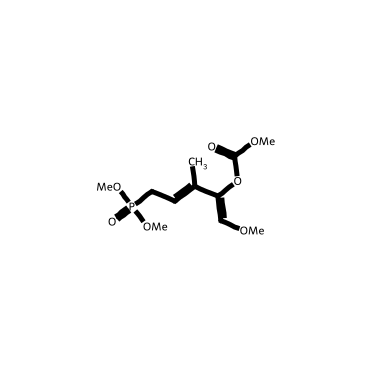 COC=C(OC(=O)OC)C(C)=CCP(=O)(OC)OC